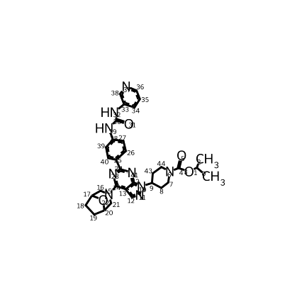 CC(C)OC(=O)N1CCC(n2ncc3c(N4CC5CCC(C4)O5)nc(-c4ccc(NC(=O)Nc5cccnc5)cc4)nc32)CC1